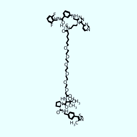 Cc1ncsc1-c1ccc(CNC(=O)[C@@H]2CCCN2C(=O)C(NC(=O)COCCOCCOCCOCCOCCOCCCCCC(=O)N(C)CCCn2c(CNc3cccc(C(=O)NCc4c(F)cccc4F)c3)nnc2-c2ccncn2)C(C)(C)C)cc1